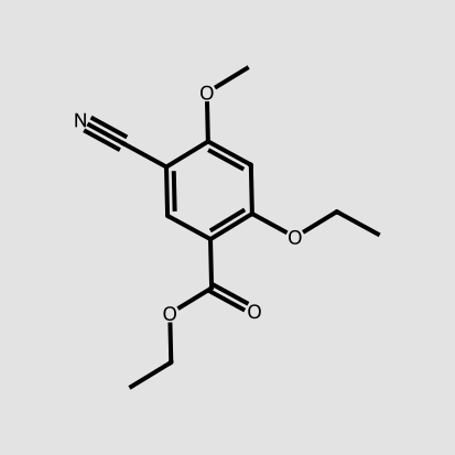 CCOC(=O)c1cc(C#N)c(OC)cc1OCC